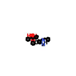 O=C(O)c1ccccc1.O=C(c1ccccc1O)C(O)c1ccccc1.c1ccc(CNCc2ccccc2)cc1